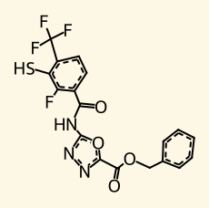 O=C(OCc1ccccc1)c1nnc(NC(=O)c2ccc(C(F)(F)F)c(S)c2F)o1